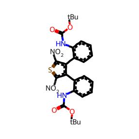 CC(C)(C)OC(=O)Nc1ccccc1-c1c([N+](=O)[O-])sc([N+](=O)[O-])c1-c1ccccc1NC(=O)OC(C)(C)C